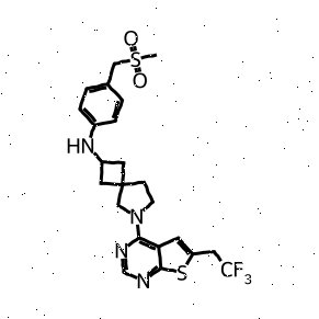 CS(=O)(=O)Cc1ccc(NC2CC3(CCN(c4ncnc5sc(CC(F)(F)F)cc45)C3)C2)cc1